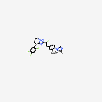 COc1cc(C=C(F)c2nc3n(n2)CCCC3c2cc(F)c(F)cc2F)ccc1-n1cnc(C)c1